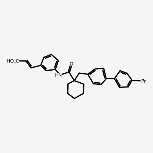 CC(C)c1ccc(-c2ccc(CC3(C(=O)Nc4cccc(/C=C/C(=O)O)c4)CCCCC3)cc2)cc1